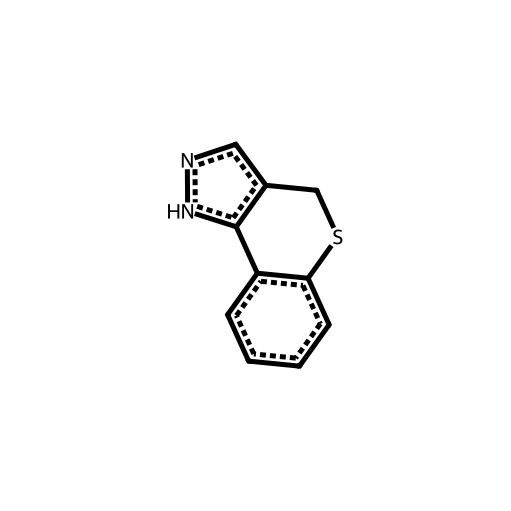 c1ccc2c(c1)SCc1cn[nH]c1-2